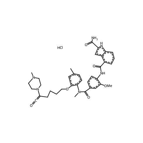 COc1cc(C(=O)N(C)c2ccc(C)cc2OCCCCC(=C=O)N2CCN(C)CC2)ccc1NC(=O)c1cccc2[nH]c(C(N)=O)cc12.Cl